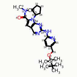 CN(C)C(=O)c1cc2cnc(Nc3ccc(CO[Si](C)(C)C(C)(C)C)cn3)nc2n1C1CCCC1